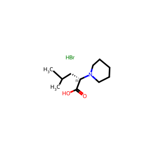 Br.CC(C)C[C@@H](C(=O)O)N1CCCCC1